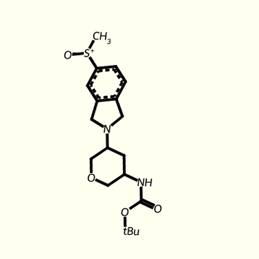 C[S+]([O-])c1ccc2c(c1)CN(C1COCC(NC(=O)OC(C)(C)C)C1)C2